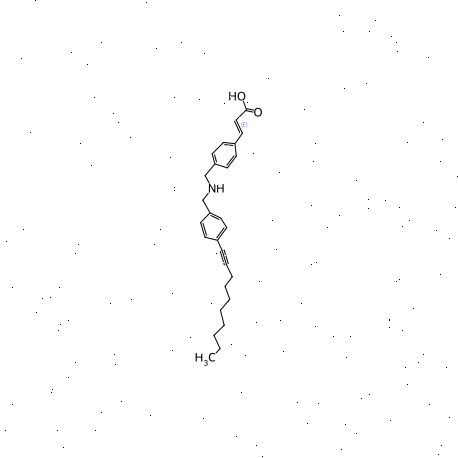 CCCCCCCCC#Cc1ccc(CNCc2ccc(/C=C/C(=O)O)cc2)cc1